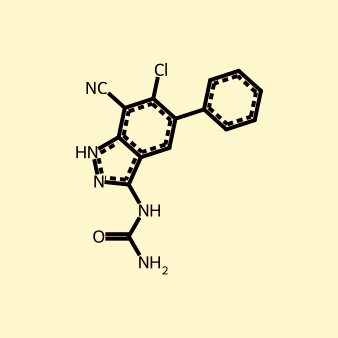 N#Cc1c(Cl)c(-c2ccccc2)cc2c(NC(N)=O)n[nH]c12